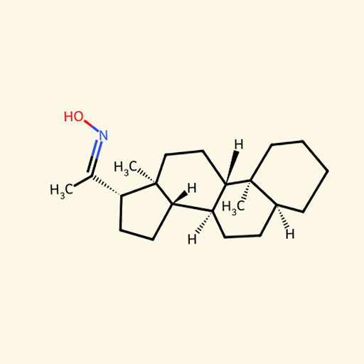 CC(=NO)[C@H]1CC[C@H]2[C@@H]3CC[C@@H]4CCCC[C@]4(C)[C@H]3CC[C@]12C